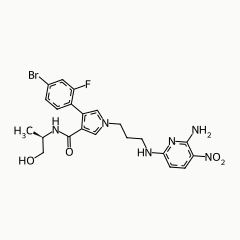 C[C@H](CO)NC(=O)c1cn(CCCNc2ccc([N+](=O)[O-])c(N)n2)cc1-c1ccc(Br)cc1F